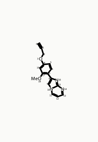 C#CCOc1ccc(-c2cn3cccnc3n2)c(OC)c1